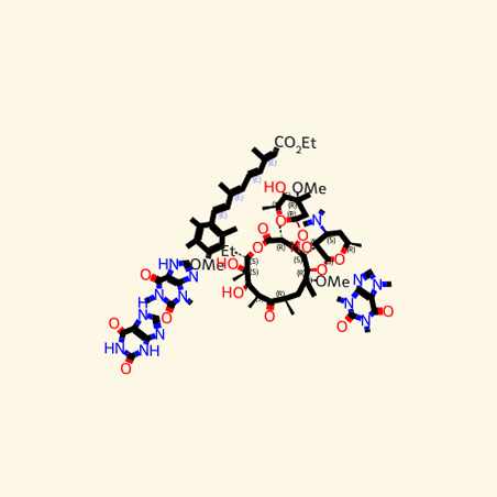 CCOC(=O)/C=C(C)/C=C/C=C(C)/C=C/c1c(C)cc(OC)c(C)c1C.CC[C@@H]1OC(=O)[C@H](C)[C@@H](O[C@H]2C[C@@](C)(OC)[C@@H](O)[C@H](C)O2)[C@H](C)[C@@H](O[C@@H]2O[C@H](C)C[C@H](N(C)C)[C@H]2O)[C@](C)(OC)C[C@@H](C)C(=O)[C@@H](C)[C@@H](O)[C@]1(C)O.Cn1c(=O)c2[nH]cnc2n(C)c1=O.Cn1c(=O)c2c(ncn2C)n(C)c1=O.O=c1[nH]c(=O)c2[nH]cnc2[nH]1